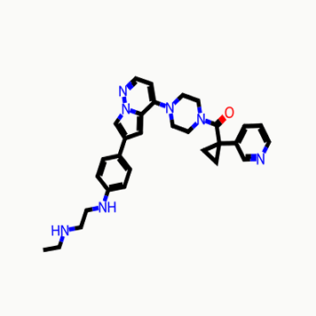 CCNCCNc1ccc(-c2cc3c(N4CCN(C(=O)C5(c6cccnc6)CC5)CC4)ccnn3c2)cc1